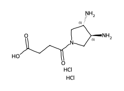 Cl.Cl.N[C@H]1CN(C(=O)CCC(=O)O)C[C@@H]1N